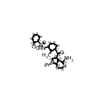 Cc1c(NS(=O)(=O)c2ccccc2Cl)cccc1C(=O)c1cn(C(C)C)c2ncnc(N)c12